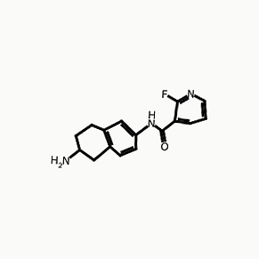 NC1CCc2cc(NC(=O)c3cccnc3F)ccc2C1